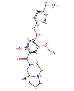 BOc1cc(C(=O)N2CCN3CCC[C@H]3C2)[n+]([O-])cc1OCc1ccc(OC)cc1